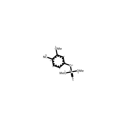 COc1cc(OP(=S)(OC)OC)ccc1C#N